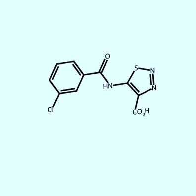 O=C(Nc1snnc1C(=O)O)c1cccc(Cl)c1